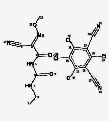 CCNC(=O)NC(=O)/C(C#N)=N/OC.N#Cc1c(Cl)c(Cl)c(Cl)c(C#N)c1Cl